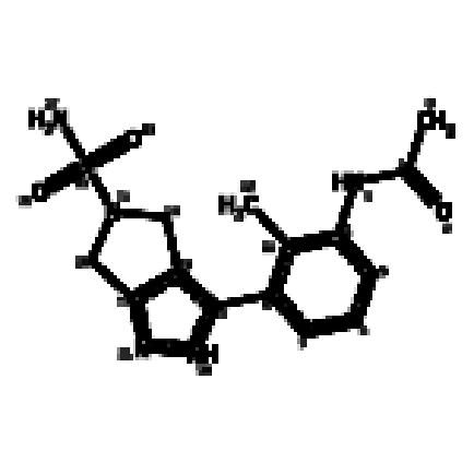 CC(=O)Nc1cccc(-c2[nH]nc3c2CN(S(N)(=O)=O)C3)c1C